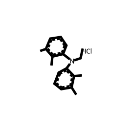 CCN(c1cccc(C)c1C)c1cccc(C)c1C.Cl